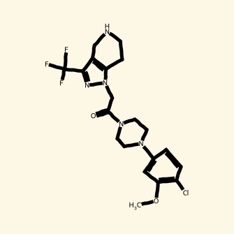 COc1cc(N2CCN(C(=O)Cn3nc(C(F)(F)F)c4c3CCNC4)CC2)ccc1Cl